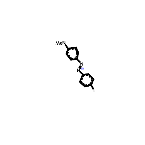 CNc1ccc(/N=N/c2ccc(I)cc2)cc1